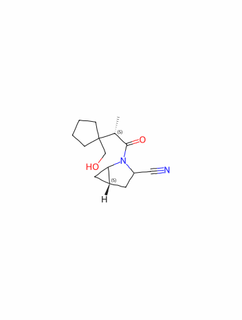 C[C@H](C(=O)N1C(C#N)C[C@@H]2CC21)C1(CO)CCCC1